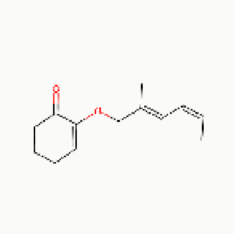 C/C=C\C=C(/C)COC1=CCCCC1=O